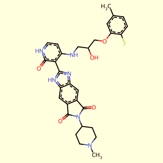 Cc1ccc(F)c(OCC(O)CNc2cc[nH]c(=O)c2-c2nc3cc4c(cc3[nH]2)C(=O)N(C2CCN(C)CC2)C4=O)c1